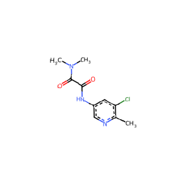 Cc1ncc(NC(=O)C(=O)N(C)C)cc1Cl